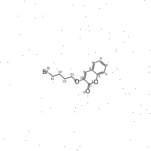 O=c1oc2ccccc2cc1OCCCCBr